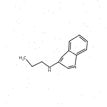 CCCNc1[c]nc2ccccc2c1